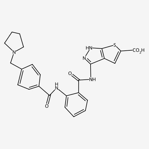 O=C(Nc1ccccc1C(=O)Nc1n[nH]c2sc(C(=O)O)cc12)c1ccc(CN2CCCC2)cc1